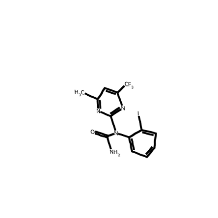 Cc1cc(C(F)(F)F)nc(N(C(N)=O)c2ccccc2I)n1